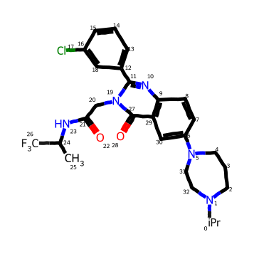 CC(C)N1CCCN(c2ccc3nc(-c4cccc(Cl)c4)n(CC(=O)NC(C)C(F)(F)F)c(=O)c3c2)CC1